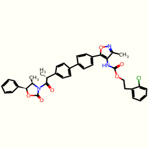 Cc1noc(-c2ccc(-c3ccc([C@@H](C)C(=O)N4C(=O)O[C@@H](c5ccccc5)[C@H]4C)cc3)cc2)c1NC(=O)OCCc1ccccc1Cl